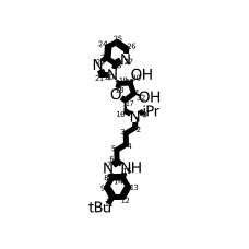 CC(C)N(CCCCc1nc2cc(C(C)(C)C)ccc2[nH]1)C[C@H]1O[C@@H](n2cnc3cccnc32)[C@H](O)[C@@H]1O